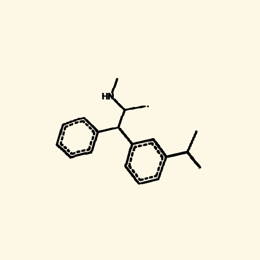 [CH2]C(NC)C(c1ccccc1)c1cccc(C(C)C)c1